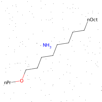 CCCCCCCCCCCCCCCCOCCC.N